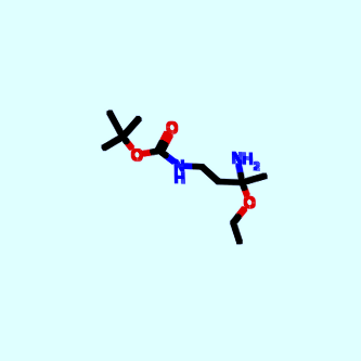 CCOC(C)(N)CCNC(=O)OC(C)(C)C